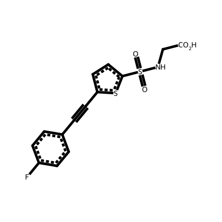 O=C(O)CNS(=O)(=O)c1ccc(C#Cc2ccc(F)cc2)s1